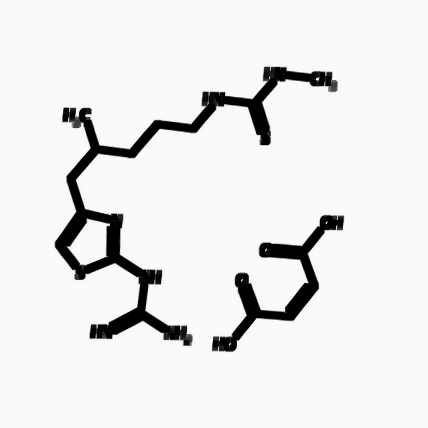 CNC(=S)NCCCC(C)Cc1csc(NC(=N)N)n1.O=C(O)/C=C\C(=O)O